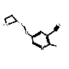 Cc1ncc(OC[C@H]2CCN2)cc1C#N